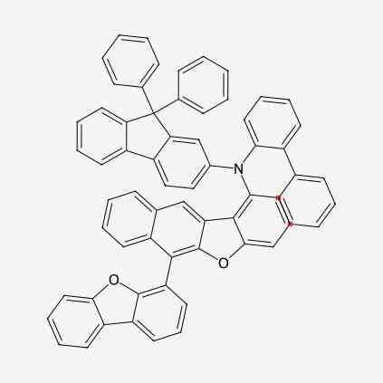 c1ccc(-c2ccccc2N(c2ccc3c(c2)C(c2ccccc2)(c2ccccc2)c2ccccc2-3)c2cccc3oc4c(-c5cccc6c5oc5ccccc56)c5ccccc5cc4c23)cc1